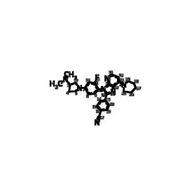 CN(C)C1CCN(c2ccc(-n3c(-c4ccc(C#N)cc4)nc4c(N5CCCCC5)ccnc43)c(F)c2)C1